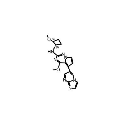 COc1nc(N[C@@H]2CC[C@@H]2OC)nn2ccc(-c3cnc4nccn4c3)c12